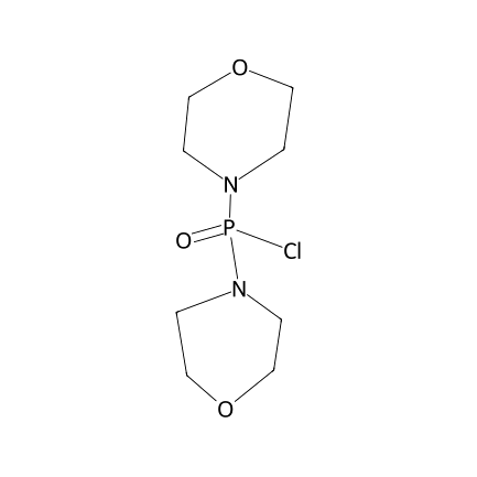 O=P(Cl)(N1CCOCC1)N1CCOCC1